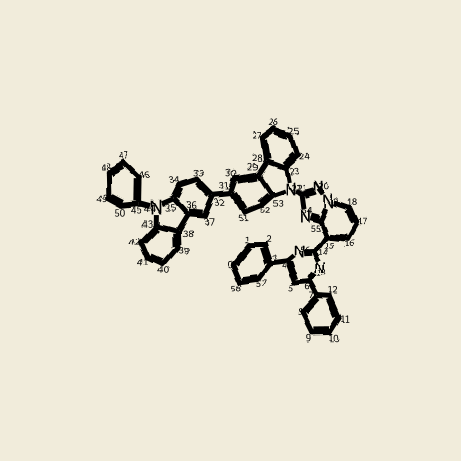 c1ccc(-c2cc(-c3ccccc3)nc(-c3cccn4nc(-n5c6ccccc6c6cc(-c7ccc8c(c7)c7ccccc7n8-c7ccccc7)ccc65)nc34)n2)cc1